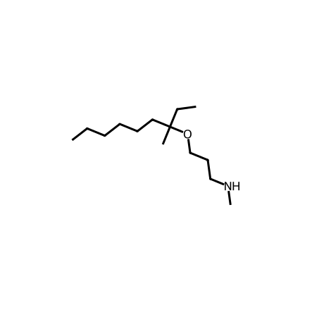 CCCCCCC(C)(CC)OCCCNC